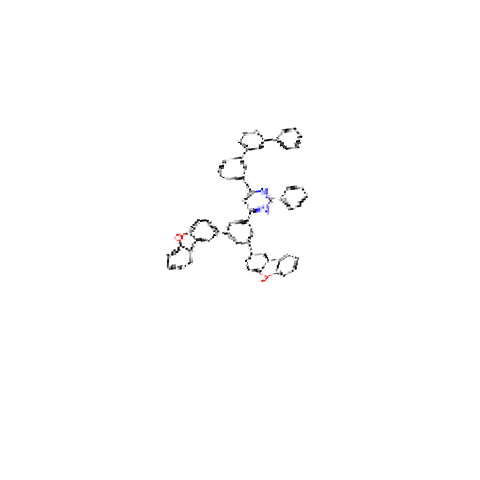 c1ccc(-c2cccc(-c3cccc(-c4cc(-c5cc(-c6ccc7oc8ccccc8c7c6)cc(-c6ccc7oc8ccccc8c7c6)c5)nc(-c5ccccc5)n4)c3)c2)cc1